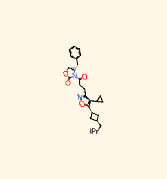 CC(C)C[C@H]1C[C@@H](c2onc(CCC(=O)N3C(=O)OC[C@@H]3Cc3ccccc3)c2C2CC2)C1